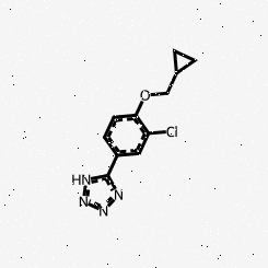 Clc1cc(-c2nnn[nH]2)ccc1OCC1CC1